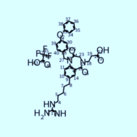 N=C(N)NCCCCCc1ccc2c(c1)C(=O)N(CCC(=O)O)CC(=O)N2Cc1ccc(Oc2ccccc2)cc1.O=C(O)C(F)(F)F